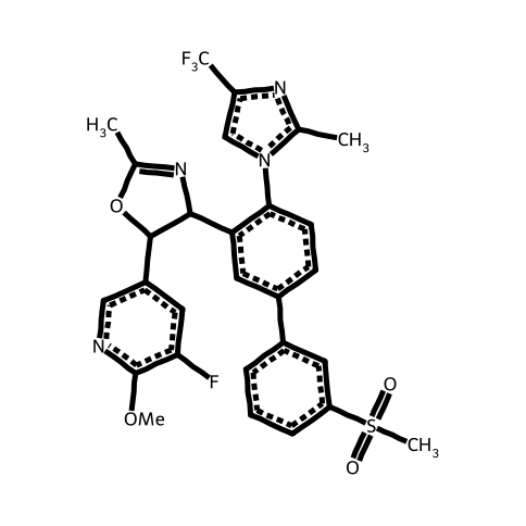 COc1ncc(C2OC(C)=NC2c2cc(-c3cccc(S(C)(=O)=O)c3)ccc2-n2cc(C(F)(F)F)nc2C)cc1F